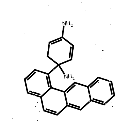 NC1=CCC(N)(c2cccc3ccc4cc5ccccc5cc4c23)C=C1